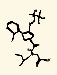 CCC(C)C[C@@H](CC(=O)O)NC(=O)c1cc(OC[C@](C)(O)C(C)(C)C)n(-c2ccccc2F)n1